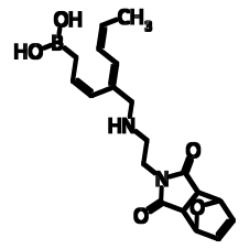 C\C=C/C=C(\C=C/CB(O)O)CNCCN1C(=O)C2C3C=CC(O3)C2C1=O